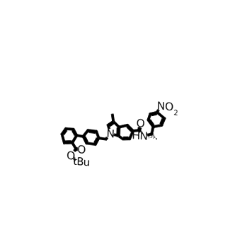 Cc1cn(Cc2ccc(-c3ccccc3C(=O)OC(C)(C)C)cc2)c2ccc(C(=O)N[C@@H](C)c3ccc([N+](=O)[O-])cc3)cc12